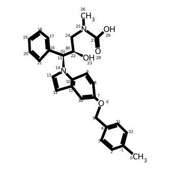 Cc1ccc(COc2ccc3c(ccn3[C@@H](c3ccccc3)[C@H](O)CN(C)C(=O)O)c2)cc1